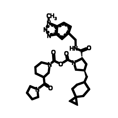 Cn1nnc2cc(CNC(=O)[C@@H]3C[C@@H](CC4CCC5(CC4)CC5)CN3C(=O)OC(=O)N3CCCC(C(=O)N4CCCC4)C3)ccc21